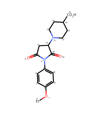 CCOc1ccc(N2C(=O)CC(N3CCC(C(=O)O)CC3)C2=O)cc1